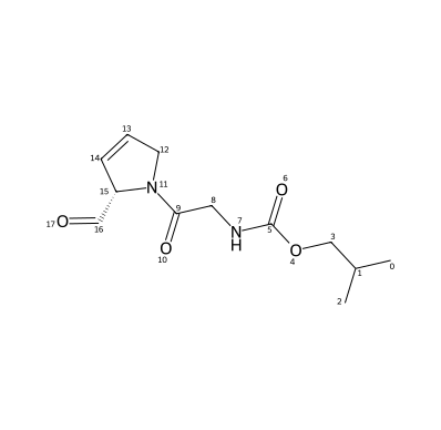 CC(C)COC(=O)NCC(=O)N1CC=C[C@H]1C=O